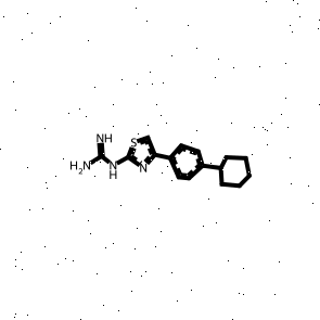 N=C(N)Nc1nc(-c2ccc(C3CCCCC3)cc2)cs1